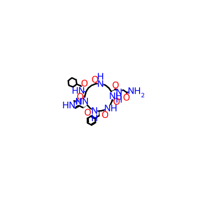 NC(=O)CNC(=O)[C@@H]1CCNC(=O)CC[C@H](NC(=O)C2CCCCC2)C(=O)N[C@@H](Cc2c[nH]cn2)C(=O)N[C@H](Cc2ccccc2)C(=O)NCC(=O)N1